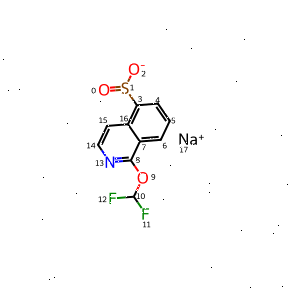 O=S([O-])c1cccc2c(OC(F)F)nccc12.[Na+]